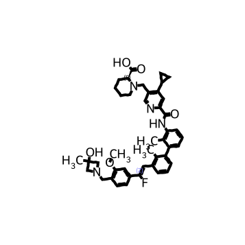 COc1cc(/C(F)=C/c2cccc(-c3cccc(NC(=O)c4cc(C5CC5)c(CN5CCCC[C@H]5C(=O)O)cn4)c3C)c2C)ccc1CN1CC(C)(O)C1